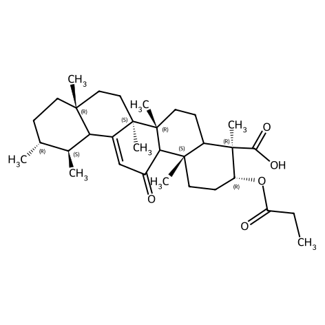 CCC(=O)O[C@@H]1CC[C@@]2(C)C(CC[C@]3(C)C2C(=O)C=C2C4[C@@H](C)[C@H](C)CC[C@]4(C)CC[C@]23C)[C@@]1(C)C(=O)O